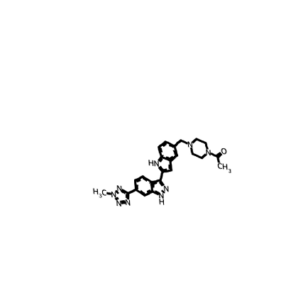 CC(=O)N1CCN(Cc2ccc3[nH]c(-c4n[nH]c5cc(-c6nnn(C)n6)ccc45)cc3c2)CC1